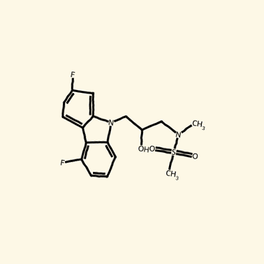 CN(CC(O)Cn1c2cc(F)ccc2c2c(F)cccc21)S(C)(=O)=O